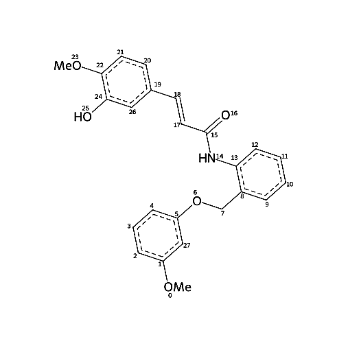 COc1cccc(OCc2ccccc2NC(=O)C=Cc2ccc(OC)c(O)c2)c1